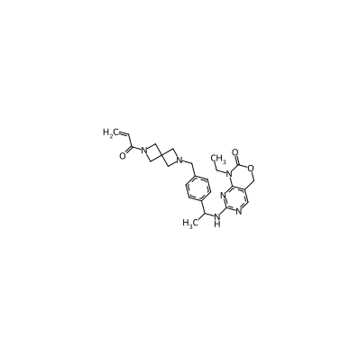 C=CC(=O)N1CC2(CN(Cc3ccc(C(C)Nc4ncc5c(n4)N(CC)C(=O)OC5)cc3)C2)C1